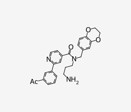 CC(=O)c1cccc(-c2cc(C(=O)N(CCCN)Cc3ccc4c(c3)OCCO4)ccn2)c1